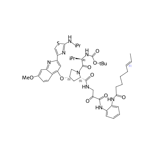 C/C=C/CCCCC(=O)Nc1ccccc1NC(=O)C(=O)CNC(=O)[C@@H]1C[C@H](Oc2cc(-c3csc(NC(C)C)n3)nc3cc(OC)ccc23)CN1C(=O)[C@H](NC(=O)OC(C)(C)C)C(C)C